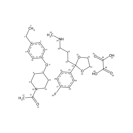 CCc1ccc(OC2CCN(C(C)=O)CC2)cc1.CNCCCC1(c2ccc(F)cc2)OCCO1.O=C(O)C(=O)O